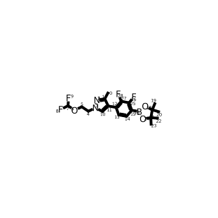 Cc1nn(CCOC(F)F)cc1-c1ccc(B2OC(C)(C)C(C)(C)O2)c(F)c1F